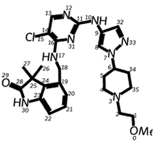 COCCN1CCC(n2cc(Nc3ncc(Cl)c(NCc4cccc5c4C(C)(C)C(=O)N5)n3)cn2)CC1